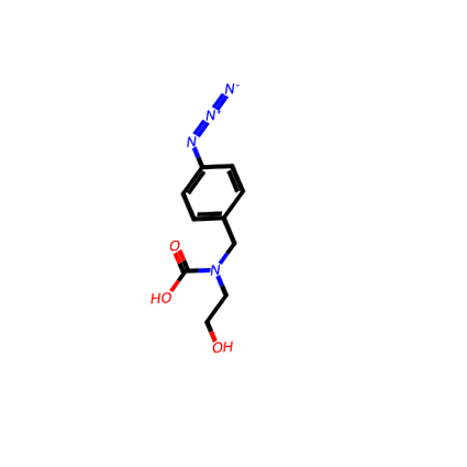 [N-]=[N+]=Nc1ccc(CN(CCO)C(=O)O)cc1